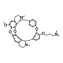 COc1cc2c3c4c1Oc1cc5c(cc1O4)C(Cc1ccc(OCCCN(C)C)c(c1)Oc1ccc(cc1)CC3N(C)CC2)N(C)CC5